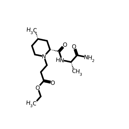 CCOC(=O)CCN1CC[C@H](C)C[C@@H]1C(=O)N[C@@H](C)C(N)=O